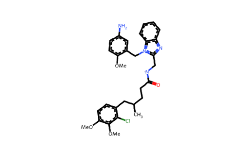 COc1ccc(N)cc1Cn1c(C[N]C(=O)CCC(C)Cc2ccc(OC)c(OC)c2Cl)nc2ccccc21